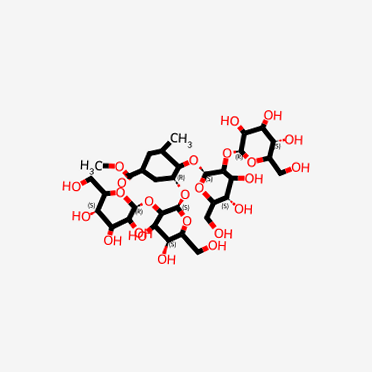 COC(=O)C1CC(C)C(O[C@H]2OC(CO)[C@@H](O)C(O)C2O[C@H]2OC(CO)[C@@H](O)C(O)C2O)[C@H](O[C@H]2OC(CO)[C@@H](O)C(O)C2O[C@H]2OC(CO)[C@@H](O)C(O)C2O)C1